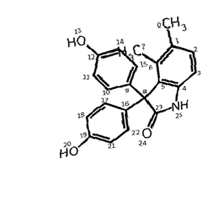 Cc1ccc2c(c1C)C(c1ccc(O)cc1)(c1ccc(O)cc1)C(=O)N2